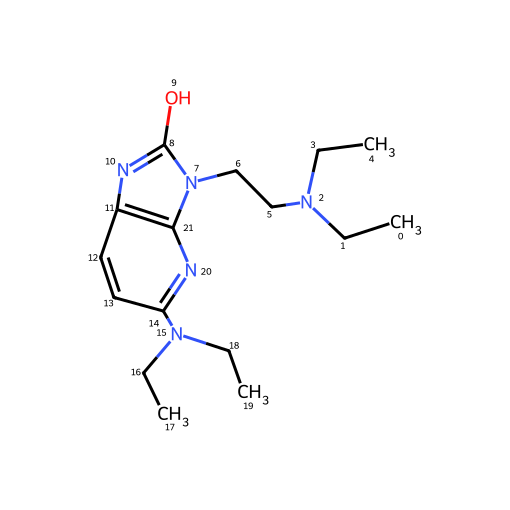 CCN(CC)CCn1c(O)nc2ccc(N(CC)CC)nc21